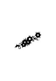 CCC(=O)O[C@H]1CC[C@H]2[C@@H]3CC=C4c5sc(N(C)c6ccccc6)nc5CC[C@]4(C)[C@H]3CC[C@]12C